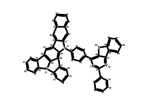 c1ccc(-c2nc(-c3ccc(-n4c5cc6ccccc6cc5c5cc6c7ccccc7n7c8ccccc8c(c54)c67)cc3)c3sc4ccccc4c3n2)cc1